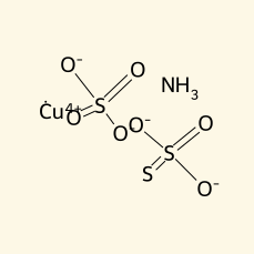 N.O=S(=O)([O-])[O-].O=S([O-])([O-])=S.[Cu+4]